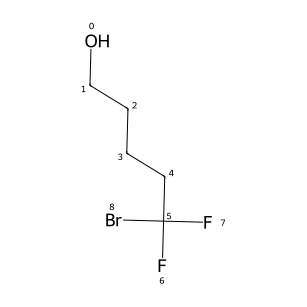 OCCCCC(F)(F)Br